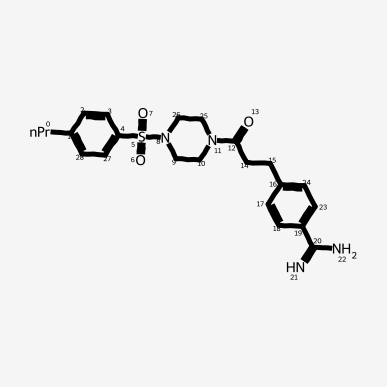 CCCc1ccc(S(=O)(=O)N2CCN(C(=O)CCc3ccc(C(=N)N)cc3)CC2)cc1